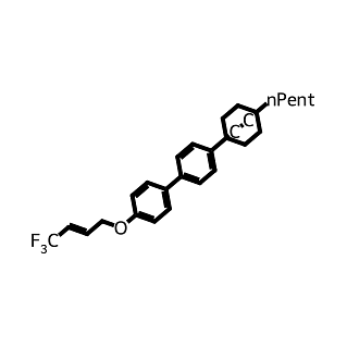 CCCCCC12CCC(c3ccc(-c4ccc(OC/C=C/C(F)(F)F)cc4)cc3)(CC1)CC2